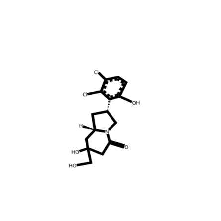 O=C1CC(O)(CO)C[C@@H]2C[C@H](c3c(O)ccc(Cl)c3Cl)CN12